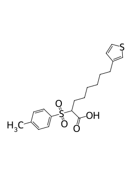 Cc1ccc(S(=O)(=O)C(CCCCCCc2ccsc2)C(=O)O)cc1